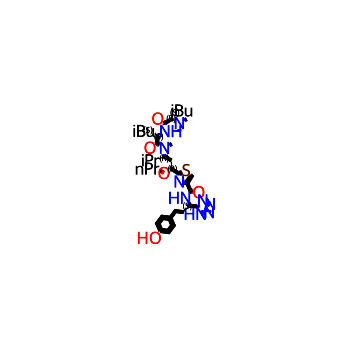 CCCO[C@H](C[C@H](C(C)C)N(C)C(=O)[C@@H](NC(=O)[C@@H]([C@@H](C)CC)N(C)C)[C@@H](C)CC)c1nc(C(=O)N[C@@H](CCc2ccc(O)cc2)c2nnn[nH]2)cs1